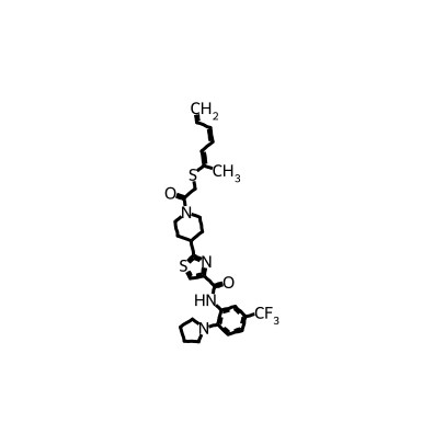 C=C/C=C\C=C(/C)SCC(=O)N1CCC(c2nc(C(=O)Nc3cc(C(F)(F)F)ccc3N3CCCC3)cs2)CC1